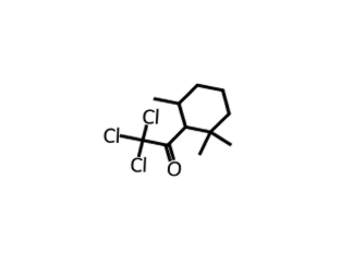 CC1CCCC(C)(C)C1C(=O)C(Cl)(Cl)Cl